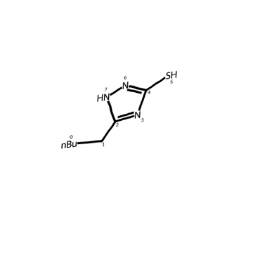 CCCCCc1nc(S)n[nH]1